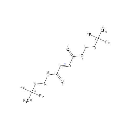 O=C(/C=C/C(=O)OCCC(F)(F)C(F)(F)F)OCCC(F)(F)C(F)(F)F